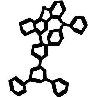 c1ccc(-c2cc(-c3ccccc3)cc(-c3ccc(-c4cc5c(oc6cccc(N(c7ccccc7)c7ccccc7)c65)c5ccccc45)cc3)c2)cc1